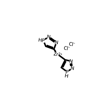 [Cl-].[Cl-].c1[pH]nn[c]1[Zr+2][c]1c[pH]nn1